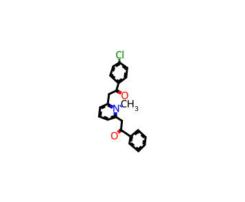 C[n+]1c(CC(=O)c2ccccc2)cccc1CC(=O)c1ccc(Cl)cc1